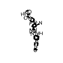 N#Cc1cc(-c2ncnc(Nc3ccc(N4CCN(C5COC5)CC4)cc3)n2)ccc1O[C@H]1CCN(C(=O)[C@@H]2COCCN2)C[C@@H]1F